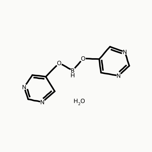 B(Oc1cncnc1)Oc1cncnc1.O